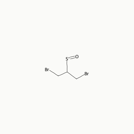 O=[S+]C(CBr)CBr